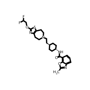 Cc1nc2cccc(C(=O)N[C@H]3CC[C@H](CCN4CCc5nc(OCC(F)F)sc5CC4)CC3)c2o1